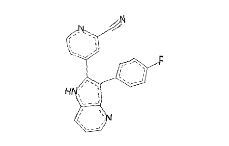 N#Cc1cc(-c2[nH]c3cccnc3c2-c2ccc(F)cc2)ccn1